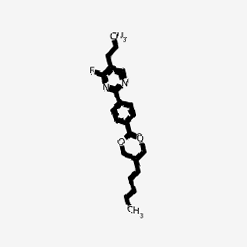 CCCCCC1COC(c2ccc(-c3ncc(CCC)c(F)n3)cc2)OC1